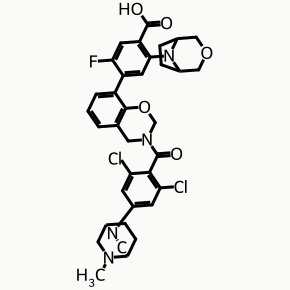 CN1CC2CCC1CN2c1cc(Cl)c(C(=O)N2COc3c(cccc3-c3cc(N4C5CCC4COC5)c(C(=O)O)cc3F)C2)c(Cl)c1